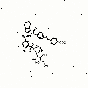 CN(C[C@H](O)[C@@H](O)[C@H](O)[C@H](O)CO)S(=O)(=O)c1cccc(C(=O)Nc2sc3c(c2C(=O)Nc2ccc(CCc4ccc(C(=O)[O-])cc4)cc2)CCCC3)c1.[Na+]